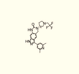 Cc1cc(-c2n[nH]c3cc4c(cc23)CN([C@@H]2CCN(CC(F)(F)F)C2)C(=O)N4)cc(C)n1